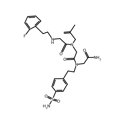 C=C(C)CN(CC(=O)N(CCc1ccc(S(N)(=O)=O)cc1)CC(N)=O)C(=O)CNCCc1ccccc1F